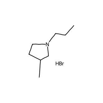 Br.CCCN1CCC(C)C1